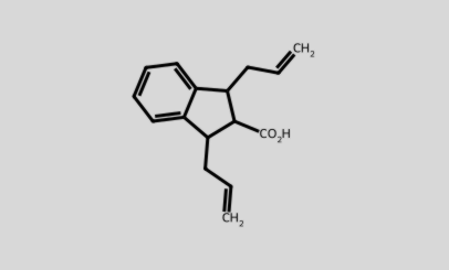 C=CCC1c2ccccc2C(CC=C)C1C(=O)O